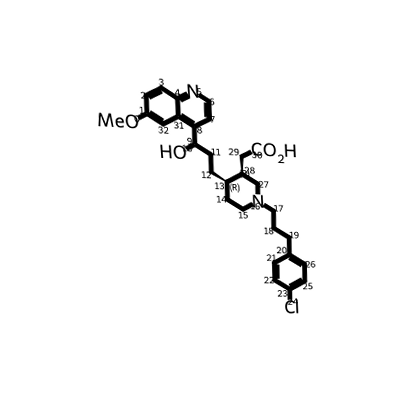 COc1ccc2nccc(C(O)CC[C@@H]3CCN(CCCc4ccc(Cl)cc4)C[C@@H]3CC(=O)O)c2c1